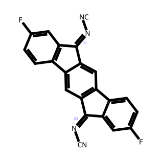 [C-]#[N+]/N=c1\c2cc(F)ccc2c2cc3/c(=N/C#N)c4cc(F)ccc4c3cc12